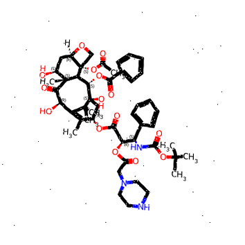 CC(=O)O[C@@]12CO[C@@H]1C[C@H](O)[C@@]1(C)C(=O)[C@H](O)C3=C(C)[C@@H](OC(=O)[C@H](OC(=O)CN4CCNCC4)[C@@H](NC(=O)OC(C)(C)C)c4ccccc4)C[C@@](O)([C@@H](OC(=O)c4ccccc4)C12)C3(C)C